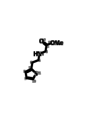 COC(=O)CNCCc1cccs1